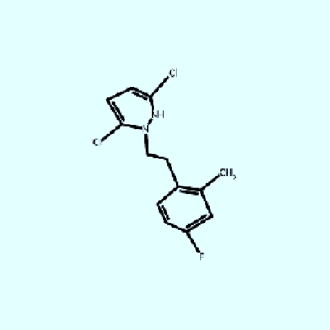 Cc1cc(F)ccc1CCN1NC(Cl)=CC=C1Cl